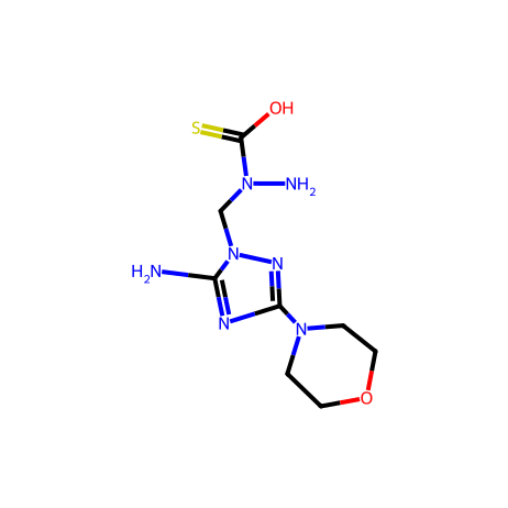 Nc1nc(N2CCOCC2)nn1CN(N)C(O)=S